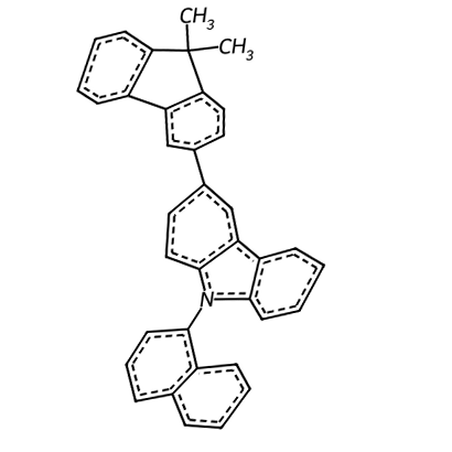 CC1(C)c2ccccc2-c2cc(-c3ccc4c(c3)c3ccccc3n4-c3cccc4ccccc34)ccc21